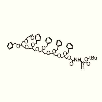 CC(C)(C)OC(=O)NCCNC(=O)OCC(COCC(COCC(COCC(COCC(COCC1CO1)OCc1ccccc1)OCc1ccccc1)OCc1ccccc1)OCc1ccccc1)OCc1ccccc1